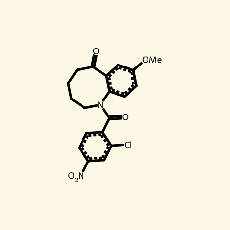 COc1ccc2c(c1)C(=O)CCCCN2C(=O)c1ccc([N+](=O)[O-])cc1Cl